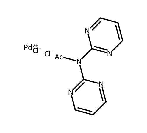 CC(=O)N(c1ncccn1)c1ncccn1.[Cl-].[Cl-].[Pd+2]